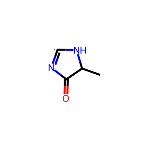 CC1N[C]=NC1=O